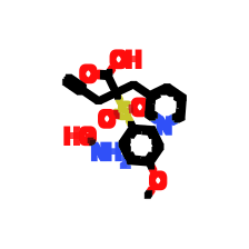 C#CCC(Cc1cccnc1)(C(=O)O)S(=O)(=O)c1ccc(OC)cc1.NO